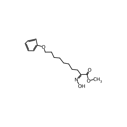 COC(=O)C(CCCCCCCCOc1ccccc1)=NO